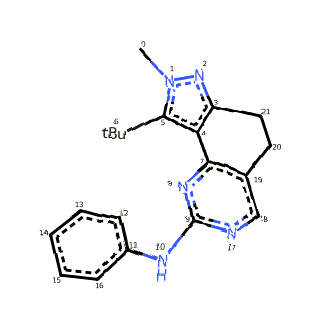 Cn1nc2c(c1C(C)(C)C)-c1nc(Nc3ccccc3)ncc1CC2